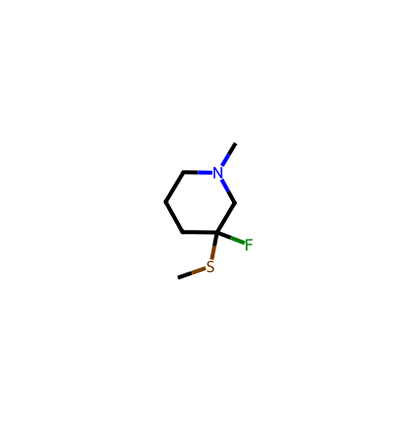 CSC1(F)CCCN(C)C1